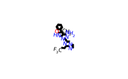 CC1(c2ccccc2)C(=O)Nc2nc(-c3cn4ccnc4c(CCC(F)(F)F)n3)nc(N)c21